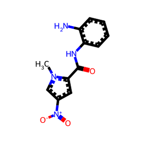 Cn1cc([N+](=O)[O-])cc1C(=O)Nc1ccccc1N